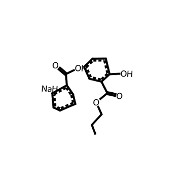 CCCOC(=O)c1ccccc1O.O=C(O)c1ccccc1.[NaH]